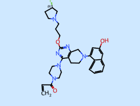 C=CC(=O)N1CCN(c2nc(OCCCN3CC[C@@H](F)C3)nc3c2CCN(c2cc(O)cc4ccccc24)C3)CC1